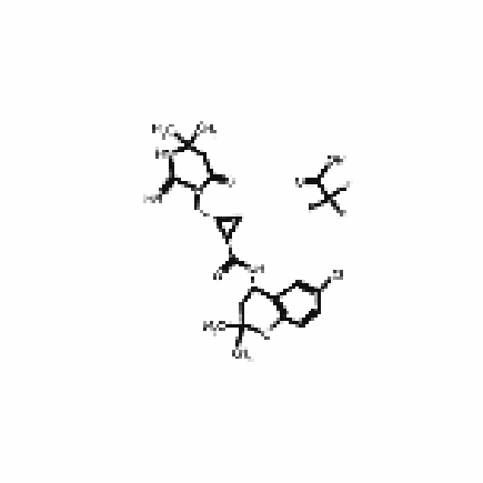 CC1(C)CC(=O)N(C[C@@H]2C[C@H]2C(=O)N[C@H]2CC(C)(C)Oc3ccc(Cl)cc32)C(=N)N1.O=C(O)C(F)(F)F